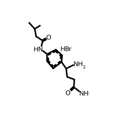 Br.CC(C)CC(=O)Nc1ccc(C(N)CCC([NH])=O)cc1